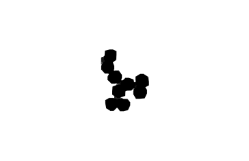 c1ccc2c(c1)sc1ccc(-c3ccc(-n4c5ccc(-n6c7ccccc7c7ccccc76)cc5c5cc(-n6c7ccccc7c7ccccc76)ccc54)cc3)cc12